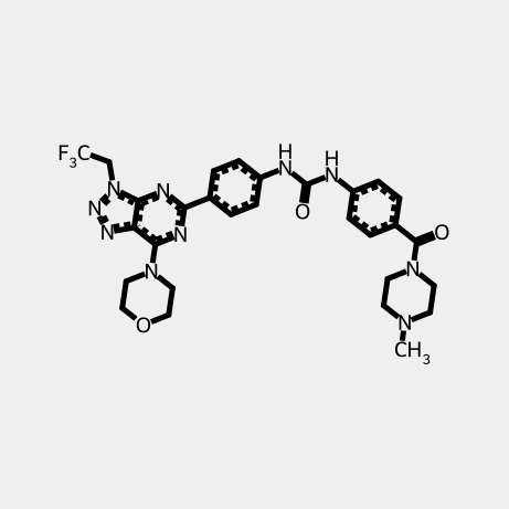 CN1CCN(C(=O)c2ccc(NC(=O)Nc3ccc(-c4nc(N5CCOCC5)c5nnn(CC(F)(F)F)c5n4)cc3)cc2)CC1